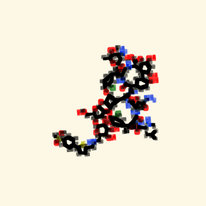 CN[C@H](CC(C)C)C(=O)N[C@H]1C(=O)N[C@@H](CC(N)=O)C(=O)N[C@H]2C(=O)N[C@H]3C(=O)N[C@H](C(=O)N[C@@H](C(=O)O)c4cc(O)cc(O)c4-c4cc3ccc4O)[C@H](O[C@H]3C[C@](C)(N)[C@@H](O)[C@H](C)O3)c3ccc(c(Cl)c3)Oc3cc2cc(c3O[C@@H]2O[C@H](CO)[C@@H](O[C@@H]3O[C@H](CNCc4ccc(-c5ccc(S(C)(=O)=O)cc5)s4)[C@H](O)[C@H](O)[C@H]3O)[C@H](O)[C@H]2O)Oc2ccc(cc2Cl)[C@H]1O